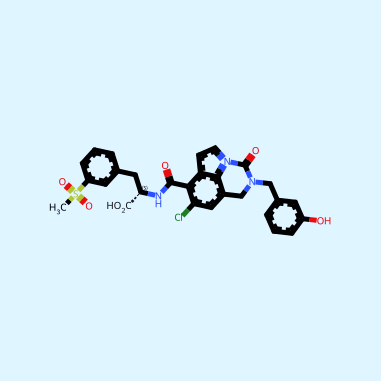 CS(=O)(=O)c1cccc(C[C@H](NC(=O)c2c(Cl)cc3c4c2ccn4C(=O)N(Cc2cccc(O)c2)C3)C(=O)O)c1